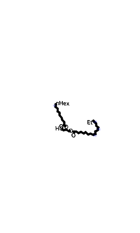 CC/C=C\C/C=C\C/C=C\CCCCCCCC(=O)OCC(CO)OC(=O)CCCCCCC/C=C\CCCCCC